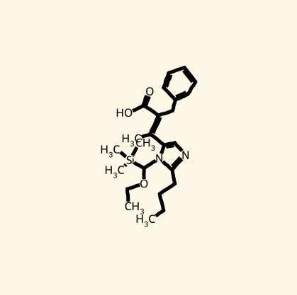 CCCCc1ncc(C(C)=C(Cc2ccccc2)C(=O)O)n1C(OCC)[Si](C)(C)C